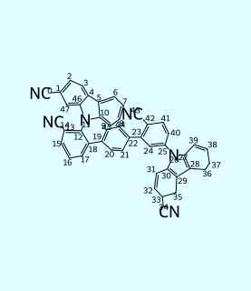 N#Cc1ccc2c3ccccc3n(-c3c(C#N)cccc3-c3ccc(-c4cc(-n5c6c(c7c5C=CC(C#N)C7)CCC=C6)ccc4C#N)cc3)c2c1